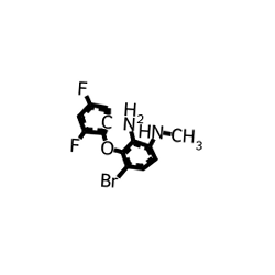 CNc1ccc(Br)c(Oc2ccc(F)cc2F)c1N